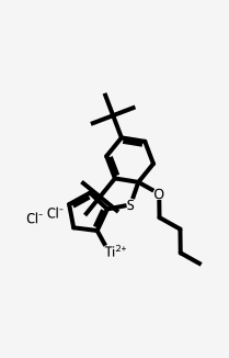 CCCCOC1(SC2=[C]([Ti+2])CC=C2)CC=C(C(C)(C)C)C=C1C(C)(C)C.[Cl-].[Cl-]